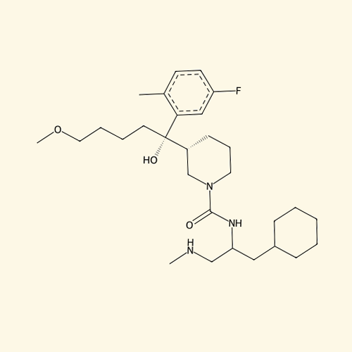 CNCC(CC1CCCCC1)NC(=O)N1CCC[C@@H]([C@@](O)(CCCCOC)c2cc(F)ccc2C)C1